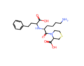 NCCCCC(NC(CCc1ccccc1)C(=O)O)C(=O)N1CCSCC1C(=O)O